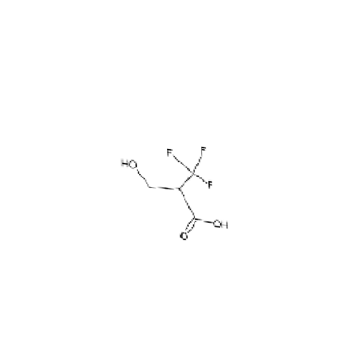 O=C(O)C(CO)C(F)(F)F